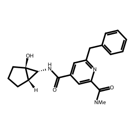 CNC(=O)c1cc(C(=O)N[C@@H]2[C@@H]3CCC[C@]23O)cc(Cc2ccccc2)n1